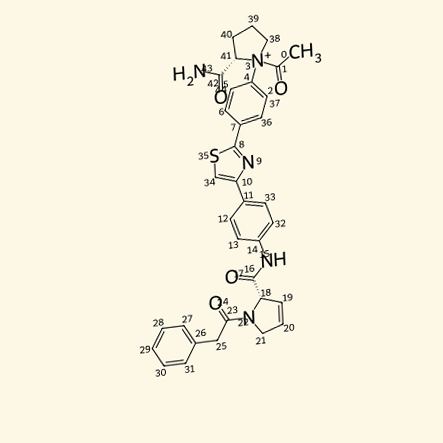 CC(=O)[N+]1(c2ccc(-c3nc(-c4ccc(NC(=O)[C@@H]5C=CCN5C(=O)Cc5ccccc5)cc4)cs3)cc2)CCC[C@H]1C(N)=O